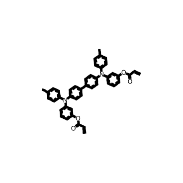 C=CC(=O)Oc1cccc(N(c2ccc(C)cc2)c2ccc(-c3ccc(N(c4ccc(C)cc4)c4cccc(OC(=O)C=C)c4)cc3)cc2)c1